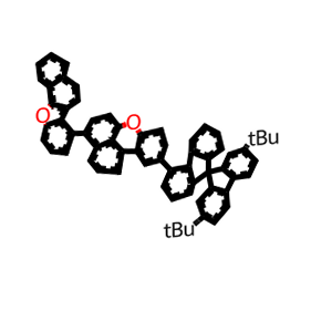 CC(C)(C)c1ccc2c(c1)C1(c3cc(C(C)(C)C)ccc3-2)c2ccccc2-c2c(-c3ccc4c(c3)-c3cccc5c(-c6cccc7oc8c9ccccc9ccc8c67)ccc(c35)O4)cccc21